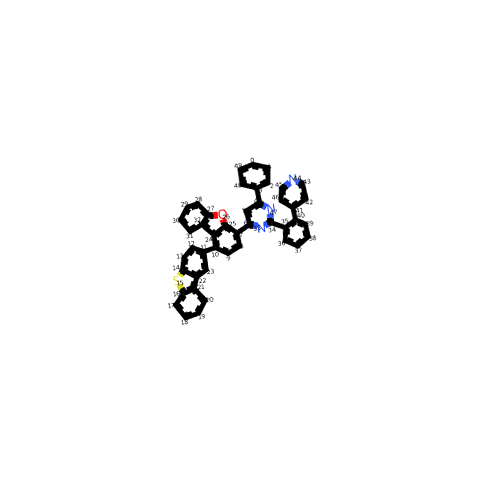 c1ccc(-c2cc(-c3ccc(-c4ccc5sc6ccccc6c5c4)c4c3oc3ccccc34)nc(-c3ccccc3-c3ccncc3)n2)cc1